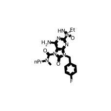 CCCN(C)C(=O)n1c(=O)n(Cc2ccc(F)cc2)c2nc([S@](=N)(=O)CC)nc(N)c21